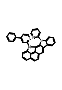 c1ccc(-c2ccnc(-n3c4cccc5ccc6cc7c8ccccc8n(-c8ccccn8)c7c3c6c54)c2)cc1